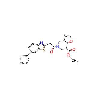 COC(=O)C1CN(C(=O)Cc2nc3ccc(-c4ccccc4)cc3s2)CC(C)C1=O